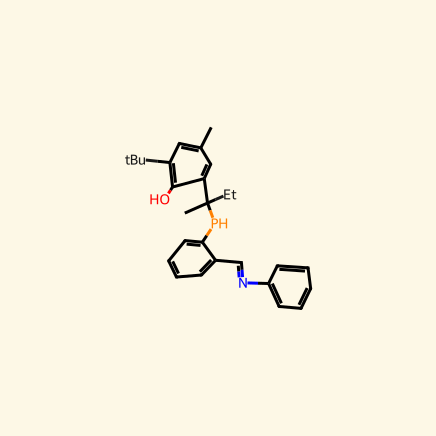 CCC(C)(Pc1ccccc1/C=N/c1ccccc1)c1cc(C)cc(C(C)(C)C)c1O